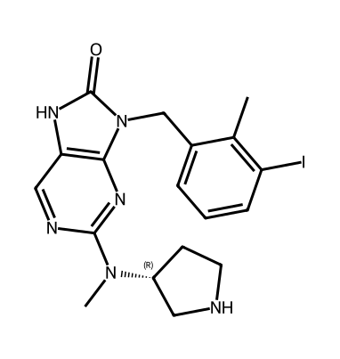 Cc1c(I)cccc1Cn1c(=O)[nH]c2cnc(N(C)[C@@H]3CCNC3)nc21